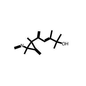 C=NC1(C)C(=C)C1(C)C(=C)/C=C(\C)C(C)(C)O